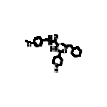 COc1ccc(CNC(=O)[C@H](CSCC2CCCCC2)NC(=O)C2CCNCC2)cc1